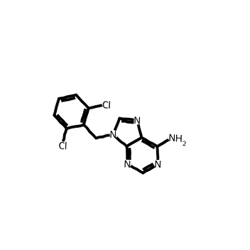 Nc1ncnc2c1ncn2Cc1c(Cl)cccc1Cl